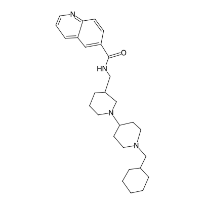 O=C(NCC1CCCN(C2CCN(CC3CCCCC3)CC2)C1)c1ccc2ncccc2c1